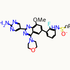 CCC[S+]([O-])Nc1cccc(-c2cc(OC)c3nc(-c4cnc(N)nc4)nc(N4CCOCC4)c3c2)c1F